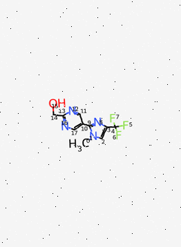 Cn1cc(C(F)(F)F)nc1-c1cnc(CO)nc1